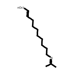 CCCCCCCCC=CCCCCCCCCN=C(C)C